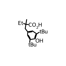 CCC(C)(Cc1cc(C(C)(C)C)c(O)c(C(C)(C)C)c1)C(=O)O